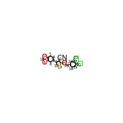 N#Cc1c(-c2ccc3c(c2)OCO3)csc1OCc1ccc(Cl)c(Cl)c1